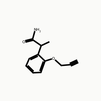 C#CCOc1ccccc1C(C)C(N)=O